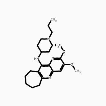 CCCN1CCC(Nc2c3c(nc4cc(OC)c(OC)nc24)CCCCC3)CC1